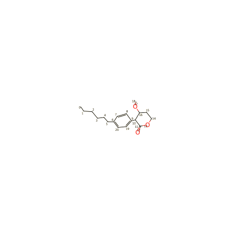 CCCCCCc1ccc(C2C(=O)OCCC2OC)cc1